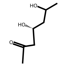 CC(=O)C[C@H](O)CC(C)O